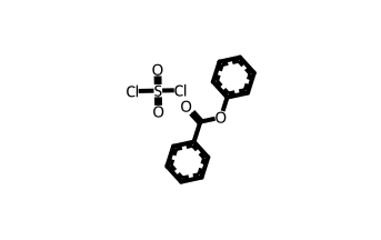 O=C(Oc1ccccc1)c1ccccc1.O=S(=O)(Cl)Cl